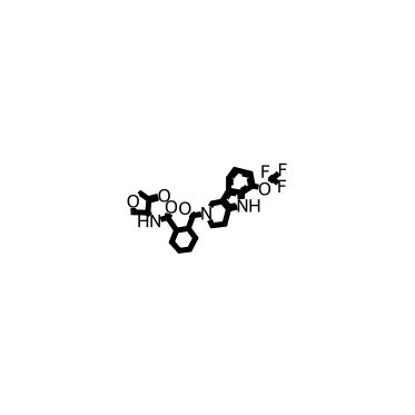 O=C1COCC1NC(=O)C1CCCCC1C(=O)N1CCc2[nH]c3c(OC(F)(F)F)cccc3c2C1